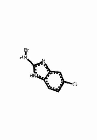 Clc1ccc2[nH]c(NBr)nc2c1